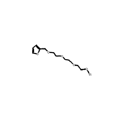 CCOCCOCCOCCOCc1ccco1